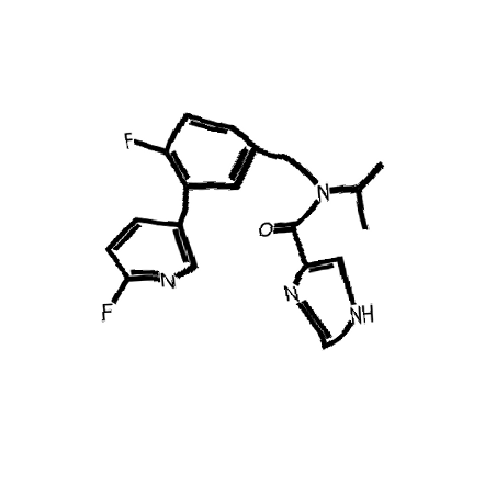 CC(C)N(Cc1ccc(F)c(-c2ccc(F)nc2)c1)C(=O)c1c[nH]cn1